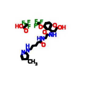 Cc1ccnc(NCCCCC(=O)NCC(=O)NC(CC(=O)O)c2cccc(OC(F)(F)F)c2)c1.O=C(O)C(F)(F)F